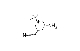 CC(C)(C)N1C[C@H](N)C[C@@H](CC#N)C1